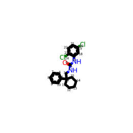 O=C(NCC1(c2ccccc2)CCCCC1)Nc1cc(Cl)ccc1Cl